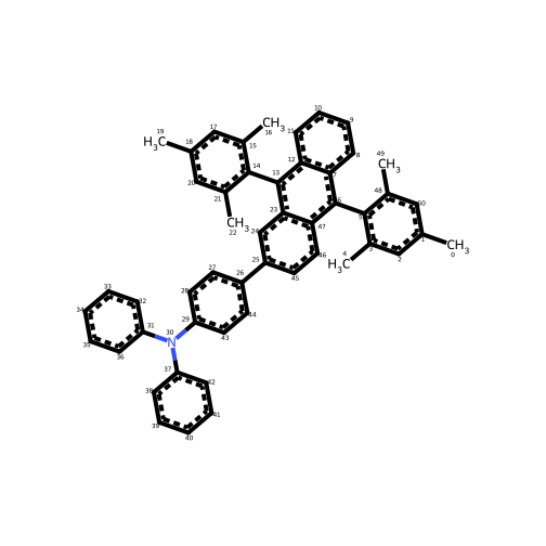 Cc1cc(C)c(-c2c3ccccc3c(-c3c(C)cc(C)cc3C)c3cc(-c4ccc(N(c5ccccc5)c5ccccc5)cc4)ccc23)c(C)c1